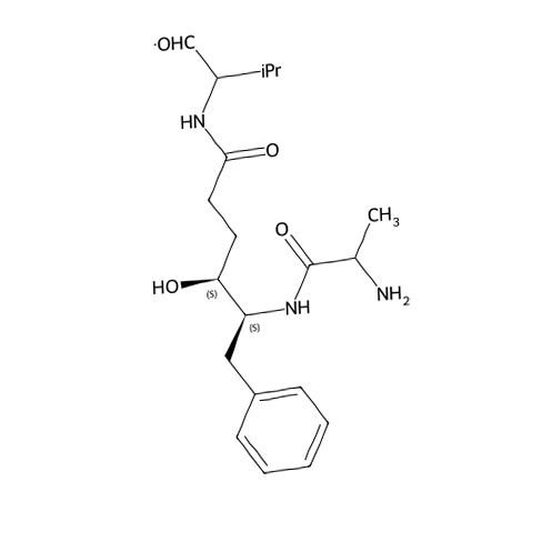 CC(N)C(=O)N[C@@H](Cc1ccccc1)[C@@H](O)CCC(=O)NC([C]=O)C(C)C